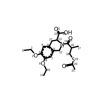 CCOc1cc2c(cc1OCC)CN(C(=O)C(C)CSC(C)=O)C(C(=O)O)C2